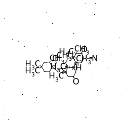 COC[C@]1(CC[C@]2(C)CC(=O)C[C@@H]3[C@@]4(C)C=C(C#N)C(=O)C(C)(C)[C@@H]4CC[C@]32C)CCC(C)(C)CC1C